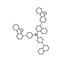 c1ccc2c(-c3ccc(N(c4ccc(-c5cccc6c5oc5ccccc56)cc4)c4ccc(-c5ccc6oc7ccccc7c6c5)c5ccccc45)cc3)cccc2c1